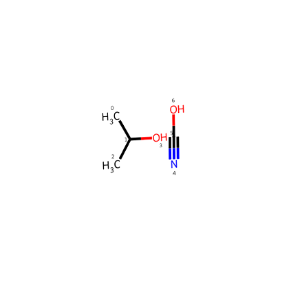 CC(C)O.N#CO